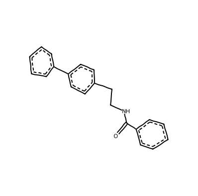 O=C(NCCc1ccc(-c2ccccc2)cc1)c1ccccc1